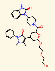 Cc1c(C2CC(OCCOCCO)OC(C(=O)N3CCC(n4c(=O)[nH]c5ccccc54)CC3)C2)c(=O)n(-c2ccccc2)n1C